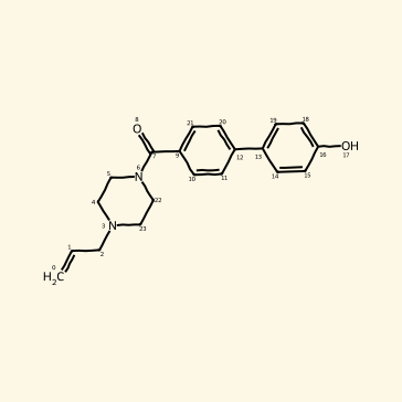 C=CCN1CCN(C(=O)c2ccc(-c3ccc(O)cc3)cc2)CC1